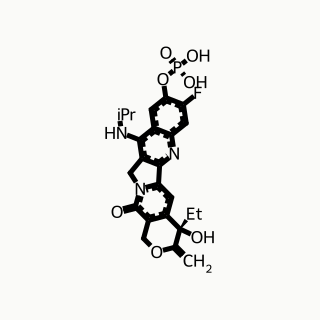 C=C1OCc2c(cc3n(c2=O)Cc2c-3nc3cc(F)c(OP(=O)(O)O)cc3c2NC(C)C)[C@@]1(O)CC